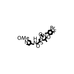 COc1cc(CNC(=O)c2cn3c(=O)n(Cc4ccc(F)c(Br)c4)c(=O)c(C)c3s2)ccn1